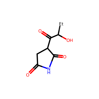 CCC(O)C(=O)C1CC(=O)NC1=O